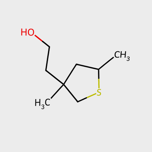 CC1CC(C)(CCO)CS1